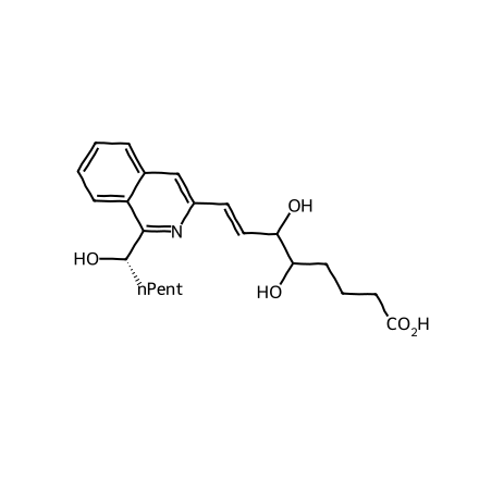 CCCCC[C@H](O)c1nc(/C=C/C(O)C(O)CCCC(=O)O)cc2ccccc12